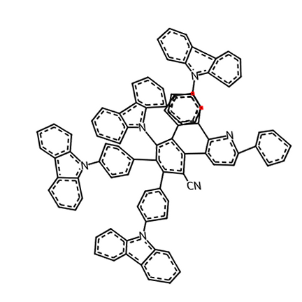 N#Cc1c(-c2ccc(-n3c4ccccc4c4ccccc43)cc2)c(-c2ccc(-n3c4ccccc4c4ccccc43)cc2)c(-n2c3ccccc3c3ccccc32)c(-c2ccc(-n3c4ccccc4c4ccccc43)cc2)c1-c1ccc(-c2ccccc2)nc1-c1ccccc1